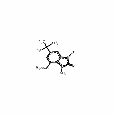 COc1cc(C(C)(C)C)cc2c1n(C)c(=O)n2C